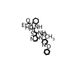 CCC(=O)N[C@H]1CCCC[C@H]1NC(O)c1sc2nccc3c2c1NC(=O)N3c1cnc(Oc2ccccc2)cc1C